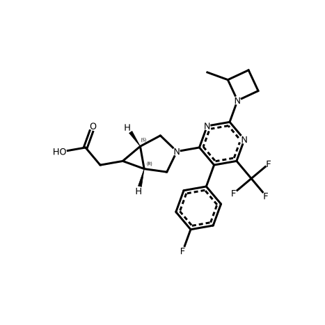 CC1CCN1c1nc(N2C[C@@H]3C(CC(=O)O)[C@@H]3C2)c(-c2ccc(F)cc2)c(C(F)(F)F)n1